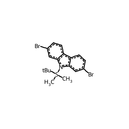 CC(C)(C)S(C)(C)n1c2cc(Br)ccc2c2ccc(Br)cc21